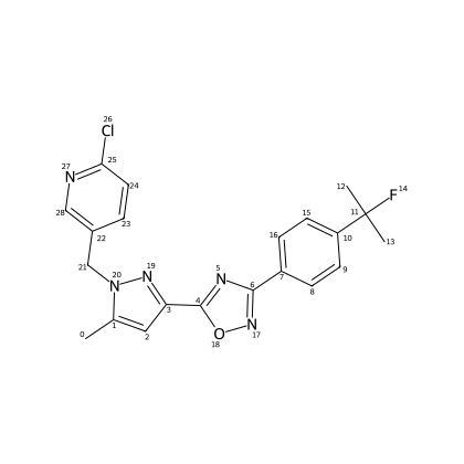 Cc1cc(-c2nc(-c3ccc(C(C)(C)F)cc3)no2)nn1Cc1ccc(Cl)nc1